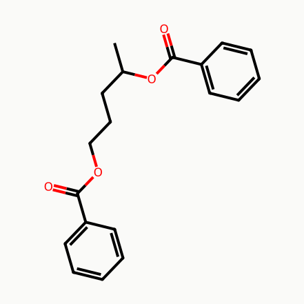 CC(CCCOC(=O)c1ccccc1)OC(=O)c1ccccc1